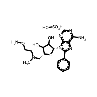 CN(CCON)C[C@H]1O[C@@H](n2c(-c3ccccc3)nc3c(N)ncnc32)C(O)C1O.O=S(=O)(O)O